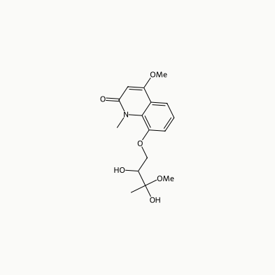 COc1cc(=O)n(C)c2c(OCC(O)C(C)(O)OC)cccc12